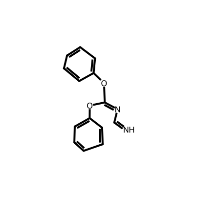 N=CN=C(Oc1ccccc1)Oc1ccccc1